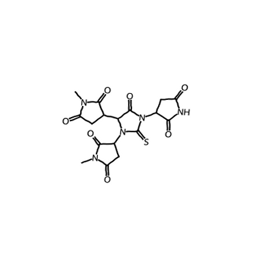 CN1C(=O)CC(C2C(=O)N(C3CC(=O)NC3=O)C(=S)N2C2CC(=O)N(C)C2=O)C1=O